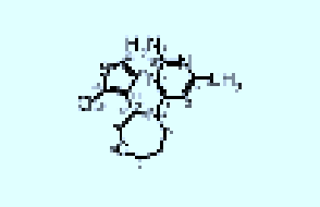 Cc1cc(N2CCCOC[C@H]2c2ccsc2Cl)nc(N)n1